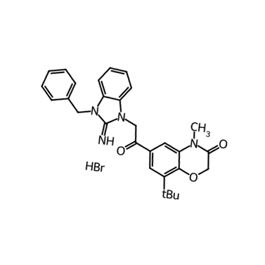 Br.CN1C(=O)COc2c1cc(C(=O)Cn1c(=N)n(Cc3ccccc3)c3ccccc31)cc2C(C)(C)C